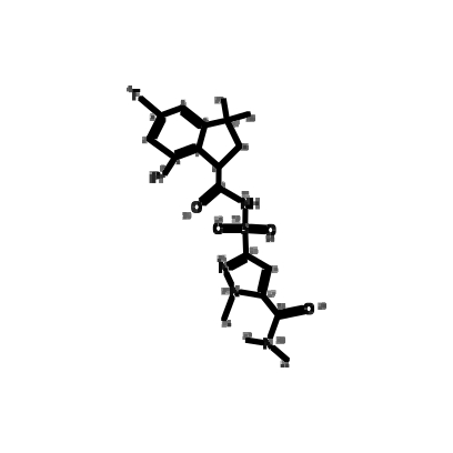 CC(C)c1cc(F)cc2c1C(C(=O)NS(=O)(=O)c1cc(C(=O)N(C)C)n(C)n1)CC2(C)C